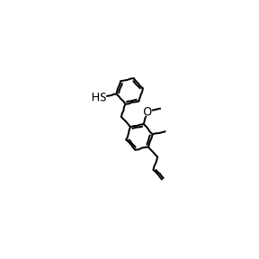 C=CCc1ccc(Cc2ccccc2S)c(OC)c1C